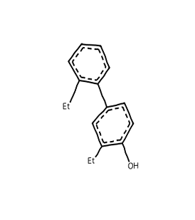 CCc1cc(-c2ccccc2CC)ccc1O